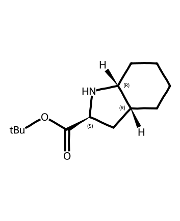 CC(C)(C)OC(=O)[C@@H]1C[C@H]2CCCC[C@H]2N1